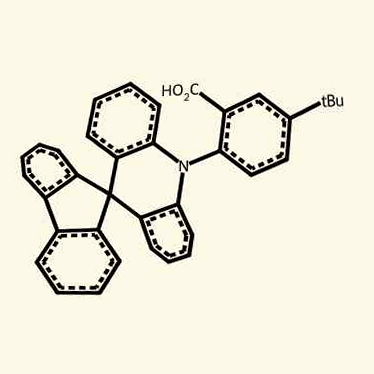 CC(C)(C)c1ccc(N2c3ccccc3C3(c4ccccc4-c4ccccc43)c3ccccc32)c(C(=O)O)c1